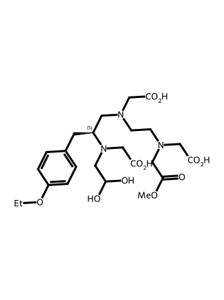 CCOc1ccc(C[C@@H](CN(CCN(CC(=O)O)CC(=O)OC)CC(=O)O)N(CC(=O)O)CC(O)O)cc1